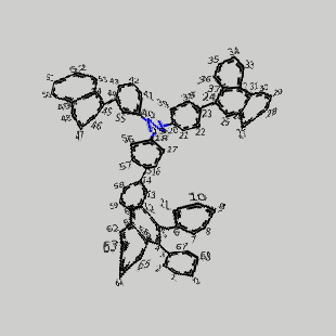 c1ccc(-c2c(-c3ccccc3)c3cc(-c4ccc(N(c5ccc(-c6cc7ccccc7c7ccccc67)cc5)c5cccc(-c6cccc7ccccc67)c5)cc4)ccc3c3ccccc23)cc1